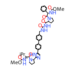 COC(=O)NC(C(=O)N1CCCC1C(=O)NC(=O)NCc1ccc(-c2ccc(-c3cnc(C4CCCN4C(=O)[C@@H](NC(=O)OC)C(C)C)[nH]3)cc2)cc1)c1ccccc1